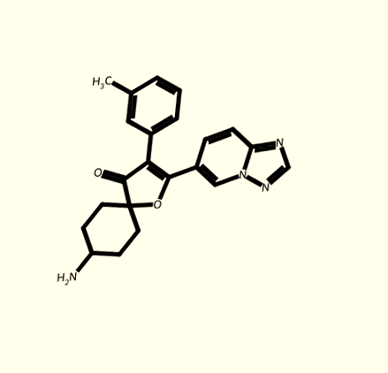 Cc1cccc(C2=C(c3ccc4ncnn4c3)OC3(CCC(N)CC3)C2=O)c1